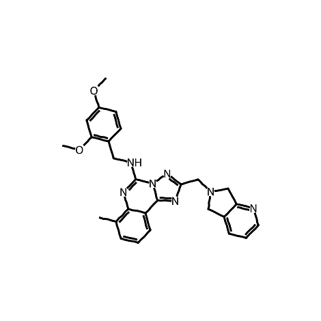 COc1ccc(CNc2nc3c(C)cccc3c3nc(CN4Cc5cccnc5C4)nn23)c(OC)c1